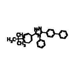 CC(C)(C)C1=CCC=C(c2nnc(-c3ccc(-c4ccccc4)cc3)n2-c2ccccc2)C=C1